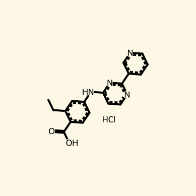 CCc1cc(Nc2ccnc(-c3cccnc3)n2)ccc1C(=O)O.Cl